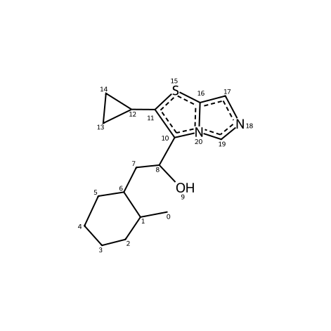 CC1CCCCC1CC(O)c1c(C2CC2)sc2cncn12